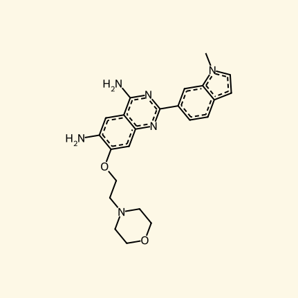 Cn1ccc2ccc(-c3nc(N)c4cc(N)c(OCCN5CCOCC5)cc4n3)cc21